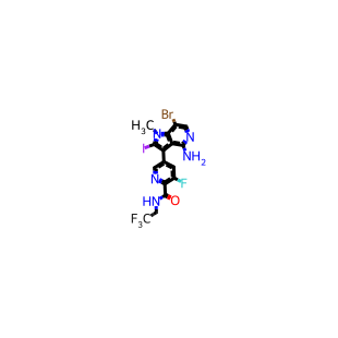 Cn1c(I)c(-c2cnc(C(=O)NCC(F)(F)F)c(F)c2)c2c(N)ncc(Br)c21